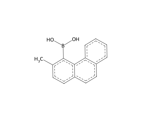 Cc1ccc2ccc3ccccc3c2c1B(O)O